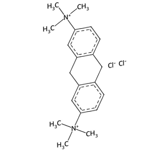 C[N+](C)(C)c1ccc2c(c1)Cc1cc([N+](C)(C)C)ccc1C2.[Cl-].[Cl-]